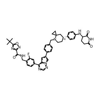 CC(C)(C)c1nc(C(=O)NCc2ccc(-c3ncnn4cc(-c5ccc(CN6CC[C@@H](c7ccc(NC8CCC(=O)NC8=O)cc7)CC67CC7)cc5)cc34)cc2F)no1